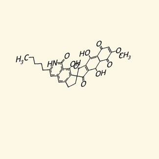 CCCCCc1cc2cc3c(c(O)c2c(=O)[nH]1)C1(CC3)C(=O)C2=C(C1=O)C(O)C1C(=O)C(OC)=CC(=O)C1=C2O